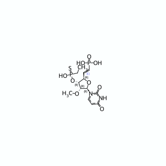 CCP(O)(=S)O[C@H]1[C@@H](OC)[C@H](n2ccc(=O)[nH]c2=O)O[C@@H]1/C=C/P(=O)(O)O